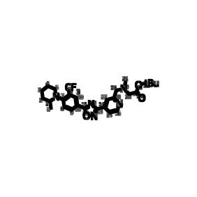 CC1CCCCN1c1ccc(-c2nc(-c3ccnc(CN(C)CC(=O)OC(C)(C)C)c3)no2)cc1C(F)(F)F